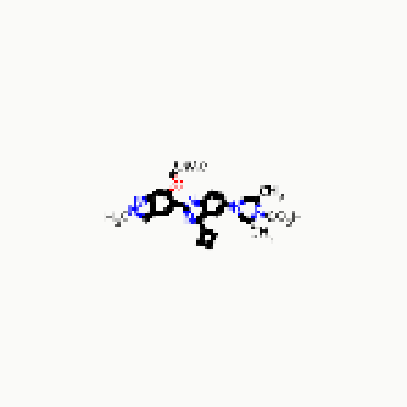 COCOc1cc2nn(C)cc2cc1-c1nc(C2CCC2)c2cc(N3C[C@@H](C)N(C(=O)O)[C@@H](C)C3)ccc2n1